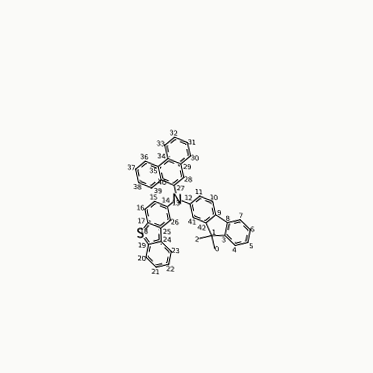 CC1(C)c2ccccc2-c2ccc(N(c3ccc4sc5ccccc5c4c3)c3cc4ccccc4c4ccccc34)cc21